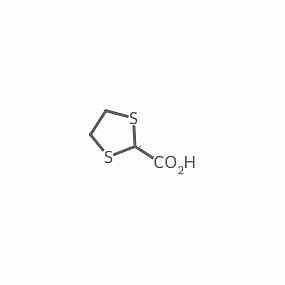 O=C(O)[C]1SCCS1